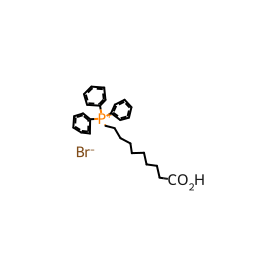 O=C(O)CCCCCCCCC[P+](c1ccccc1)(c1ccccc1)c1ccccc1.[Br-]